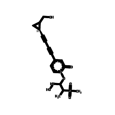 CC(C(NO)On1ccc(C#CC#C[C@H]2CC2CO)cc1=O)S(C)(=O)=O